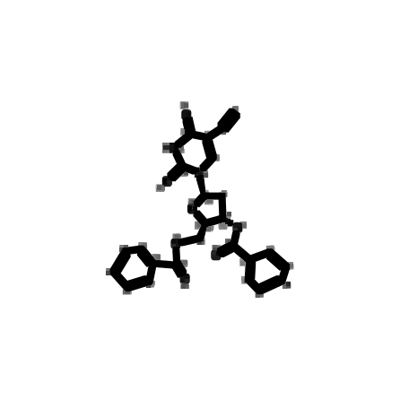 C#Cc1cn([C@H]2C[C@H](OC(=O)c3ccccc3)[C@@H](COC(=O)c3ccccc3)O2)c(=O)[nH]c1=O